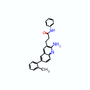 Cc1ccccc1-c1ccc2nc(N)c(CCC(=O)Nc3ccccc3)cc2c1